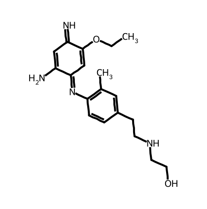 CCOC1=CC(=Nc2ccc(CCNCCO)cc2C)C(N)=CC1=N